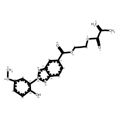 C=C(C)C(=O)OCCOC(=O)c1ccc2nn(-c3cc(OC)ccc3O)nc2c1